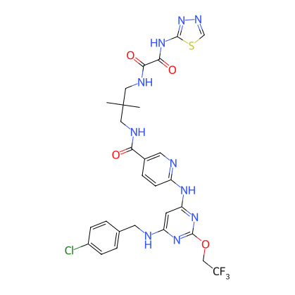 CC(C)(CNC(=O)C(=O)Nc1nncs1)CNC(=O)c1ccc(Nc2cc(NCc3ccc(Cl)cc3)nc(OCC(F)(F)F)n2)nc1